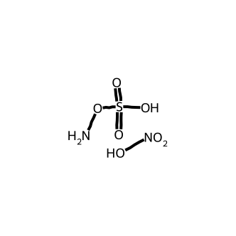 NOS(=O)(=O)O.O=[N+]([O-])O